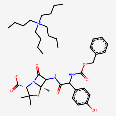 CC1(C)S[C@@H]2C(NC(=O)C(NC(=O)OCc3ccccc3)c3ccc(O)cc3)C(=O)N2[C@H]1C(=O)[O-].CCCC[N+](CCCC)(CCCC)CCCC